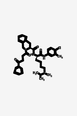 Cc1cc(NC(=O)[C@H](CCCCN(C)C(C)C)NC(=O)[C@@H]2Cc3ccccc3CN2C(=O)CCC(=O)c2ccccc2)ccc1Cl